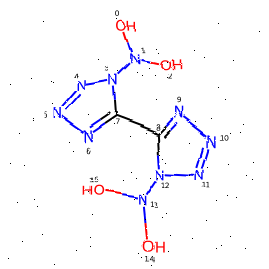 ON(O)n1nnnc1-c1nnnn1N(O)O